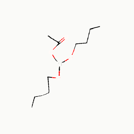 CCCC[O][Al]([O]CCCC)[O]C(C)=O